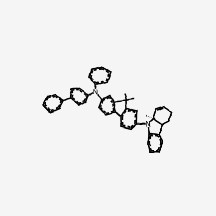 CC1(C)c2cc(N(c3ccccc3)c3ccc(-c4ccccc4)cc3)ccc2-c2ccc(N3c4ccccc4C4CCC=C[C@@]43C)cc21